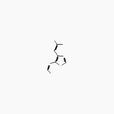 C/C=N\c1[nH]cnc1C=C(C)C